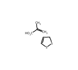 C1=CSSC1.C=C(C)C(=O)O